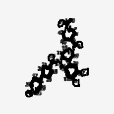 CC(=O)N1CCC(C(=O)N2CC[C@@H](N(C)C(=O)c3ccc(-c4cc[n+]([O-])cc4)cc3)[C@H](c3ccc(Cl)c(Cl)c3)C2)CC1